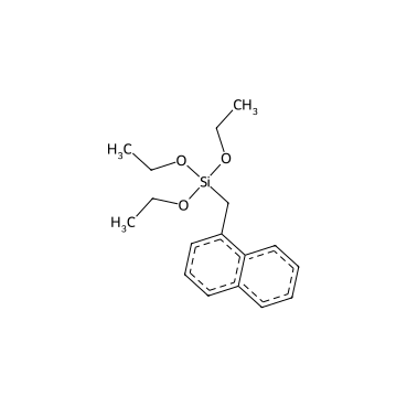 CCO[Si](Cc1cccc2ccccc12)(OCC)OCC